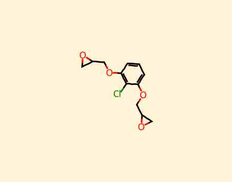 Clc1c(OCC2CO2)cccc1OCC1CO1